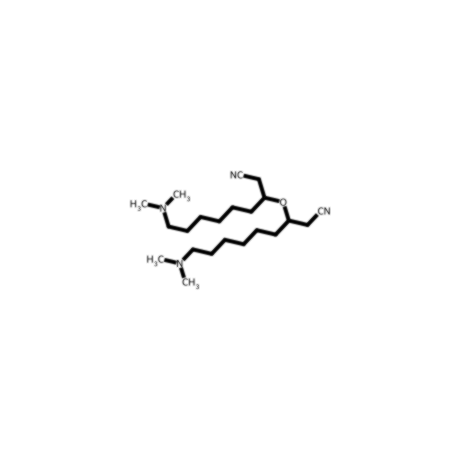 CN(C)CCCCCCC(CC#N)OC(CC#N)CCCCCCN(C)C